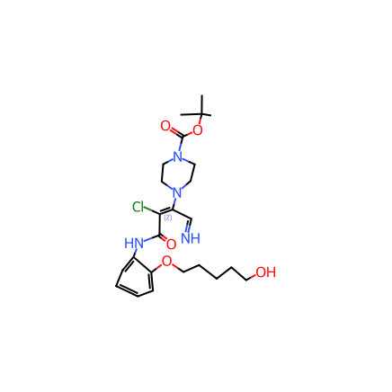 CC(C)(C)OC(=O)N1CCN(/C(C=N)=C(\Cl)C(=O)Nc2ccccc2OCCCCCO)CC1